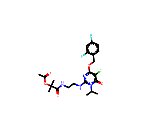 CC(=O)OC(C)(C)C(=O)NCCNc1nc(OCc2ccc(F)cc2F)c(Cl)c(=O)n1C(C)C